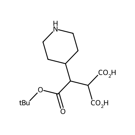 CC(C)(C)OC(=O)C(C1CCNCC1)C(C(=O)O)C(=O)O